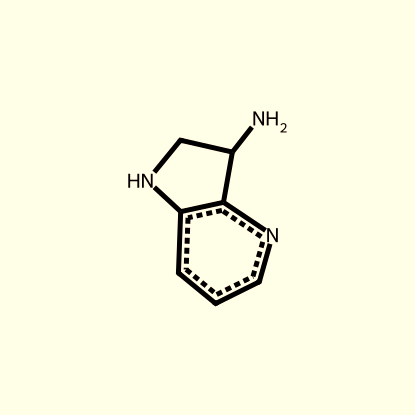 NC1CNc2cccnc21